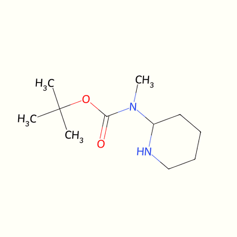 CN(C(=O)OC(C)(C)C)C1CCCCN1